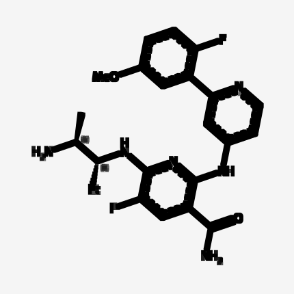 CC[C@@H](Nc1nc(Nc2ccnc(-c3cc(OC)ccc3F)c2)c(C(N)=O)cc1F)[C@H](C)N